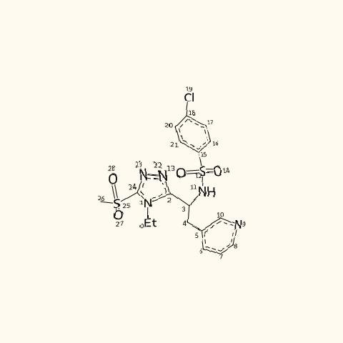 CCn1c(C(Cc2cccnc2)NS(=O)(=O)c2ccc(Cl)cc2)nnc1S(C)(=O)=O